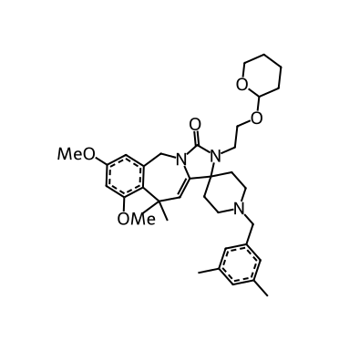 COc1cc2c(c(OC)c1)C(C)(C)C=C1N(C2)C(=O)N(CCOC2CCCCO2)C12CCN(Cc1cc(C)cc(C)c1)CC2